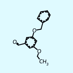 CCOc1cc(C=O)cc(OCc2ccccc2)c1